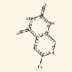 O=c1[nH]c(=O)c2cc(Br)ncc2[nH]1